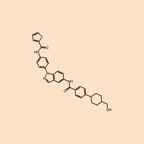 O=C(Nc1ccc2c(cnn2-c2ccc(NC(=O)c3cccs3)cc2)c1)c1ccc(N2CCC(CO)CC2)cc1